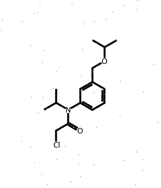 CC(C)OCc1cccc(N(C(=O)CCl)C(C)C)c1